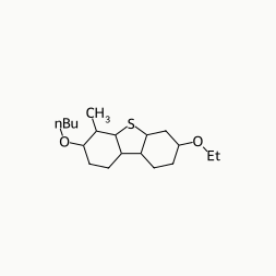 CCCCOC1CCC2C3CCC(OCC)CC3SC2C1C